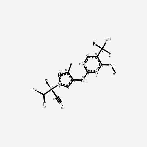 CNc1nc(Nc2cn([C@](C)(C#N)C(F)F)nc2C)ncc1C(F)(F)F